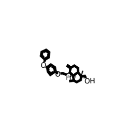 C=C1CCC2[C@@H](C(C)CC[C@@]2(C)CO)[C@H]1CCOc1ccc(Oc2ccccc2)cc1